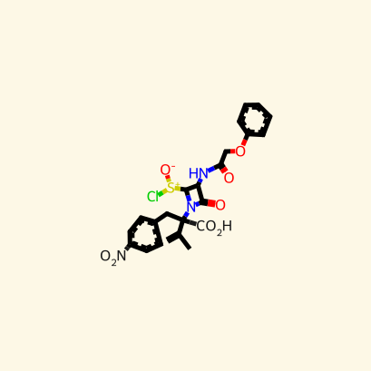 C=C(C)C(Cc1ccc([N+](=O)[O-])cc1)(C(=O)O)N1C(=O)C(NC(=O)COc2ccccc2)C1[S+]([O-])Cl